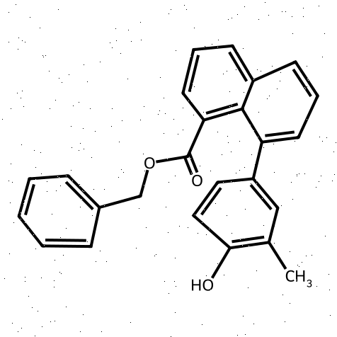 Cc1cc(-c2cccc3cccc(C(=O)OCc4ccccc4)c23)ccc1O